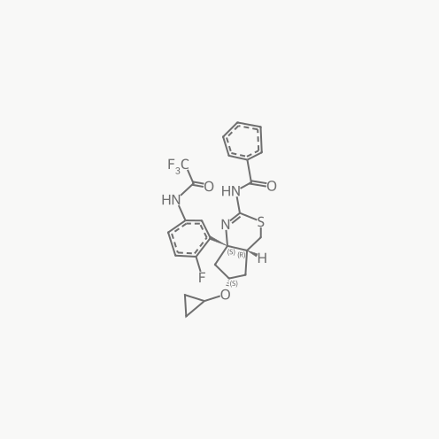 O=C(NC1=N[C@@]2(c3cc(NC(=O)C(F)(F)F)ccc3F)C[C@@H](OC3CC3)C[C@H]2CS1)c1ccccc1